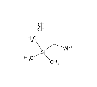 C[Si](C)(C)[CH2][Al+2].[Cl-].[Cl-]